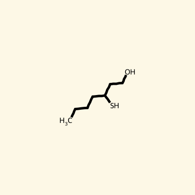 CCCCC(S)CCO